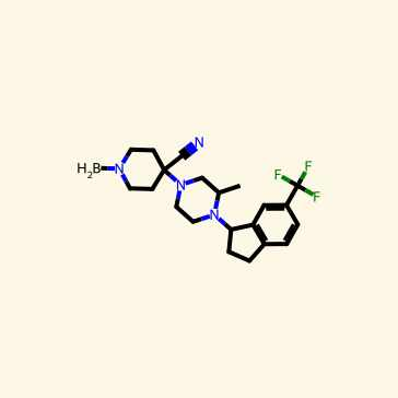 BN1CCC(C#N)(N2CCN(C3CCc4ccc(C(F)(F)F)cc43)C(C)C2)CC1